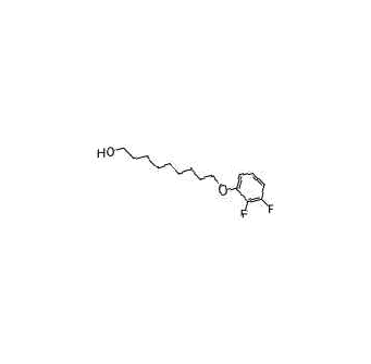 OCCCCCCCCCOc1cccc(F)c1F